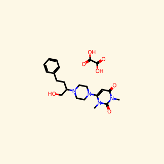 Cn1c(N2CCN(C(CO)CCc3ccccc3)CC2)cc(=O)n(C)c1=O.O=C(O)C(=O)O